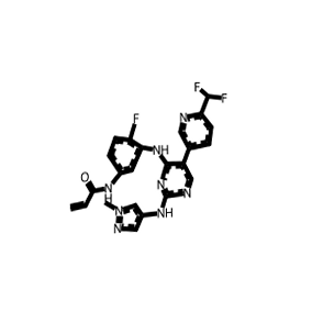 C=CC(=O)Nc1ccc(F)c(Nc2nc(Nc3cnn(C)c3)ncc2-c2ccc(C(F)F)nc2)c1